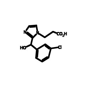 O=C(O)CCn1ccnc1C(O)c1cccc(Cl)c1